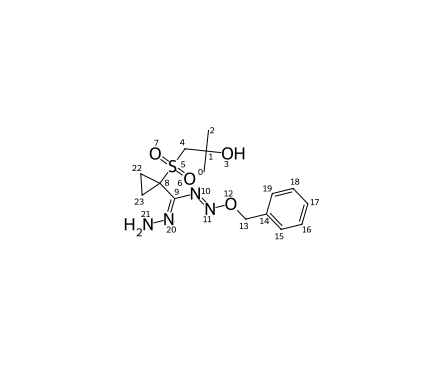 CC(C)(O)CS(=O)(=O)C1(C(N=NOCc2ccccc2)=NN)CC1